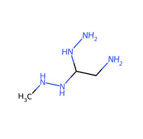 CNNC(CN)NN